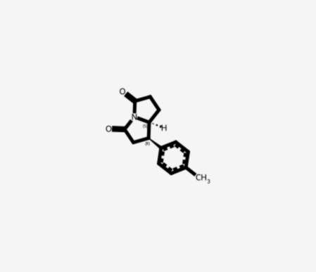 Cc1ccc([C@H]2CC(=O)N3C(=O)CC[C@@H]23)cc1